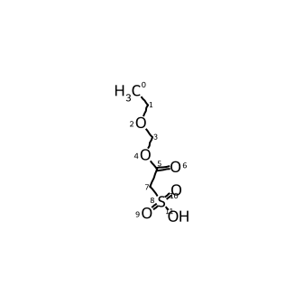 CCOCOC(=O)CS(=O)(=O)O